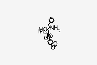 CC(C)CN(CC(O)C(N)Cc1ccccc1)S(=O)(=O)c1ccc2c(c1)OCO2